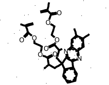 C=C(C)C(=O)OCCOC(=O)C(C)CC1(CC(C)C(=O)OCCOC(=O)C(=C)C)c2ccccc2-c2nc3cc(C)c(C)cc3nc21